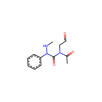 CNN(C(=O)N(C[C]=O)C(C)=O)c1ccccc1